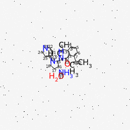 CC(C)c1cccc(C(C)C)c1C(=O)NC1CCCN1c1ccncc1.N.O